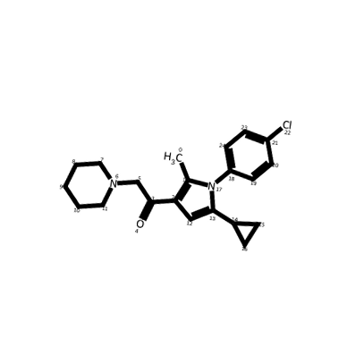 Cc1c(C(=O)CN2CCCCC2)cc(C2CC2)n1-c1ccc(Cl)cc1